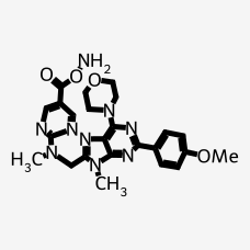 COc1ccc(-c2nc(N3CCOCC3)c3nc(CN(C)c4ncc(C(=O)ON)cn4)n(C)c3n2)cc1